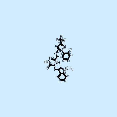 Cn1cc(C[C@H](NC(=O)COc2cc(C(F)(F)F)nn2-c2ccccc2Cl)C(=O)O)c2ccccc21